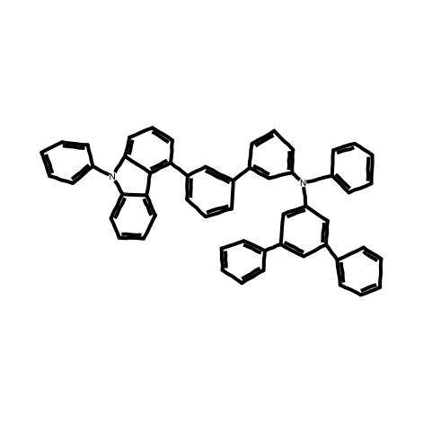 c1ccc(-c2cc(-c3ccccc3)cc(N(c3ccccc3)c3cccc(-c4cccc(-c5cccc6c5c5ccccc5n6-c5ccccc5)c4)c3)c2)cc1